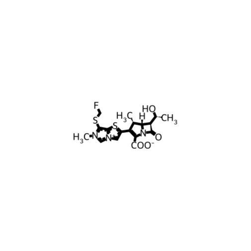 C[C@@H](O)[C@H]1C(=O)N2C(C(=O)[O-])=C(c3c[n+]4cn(C)c(SCF)c4s3)[C@H](C)[C@H]12